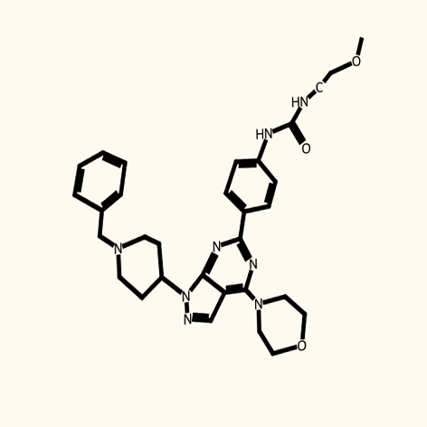 COCCNC(=O)Nc1ccc(-c2nc(N3CCOCC3)c3cnn(C4CCN(Cc5ccccc5)CC4)c3n2)cc1